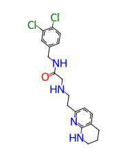 O=C(CNCCc1ccc2c(n1)NCCC2)NCc1ccc(Cl)c(Cl)c1